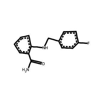 NC(=O)c1ccccc1NCc1ccc(F)cc1